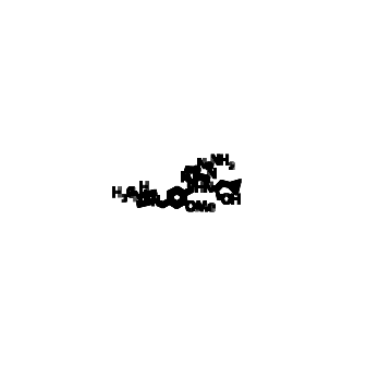 COc1cc(CN2C[C@H]3C2CN3C)ccc1Cn1ncc2nc(N)nc(N[C@H](CO)CC3CC3)c21